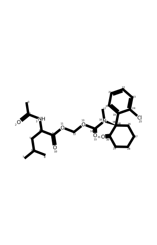 CC(=O)NC(CC(C)C)C(=O)OCOC(=O)N(C)[C@@]1(c2ccccc2Cl)CCCCC1=O